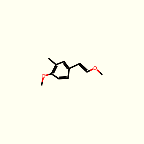 CO/C=C/c1ccc(OC)c(C)c1